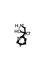 NCC(O)(Cl)c1ccccn1